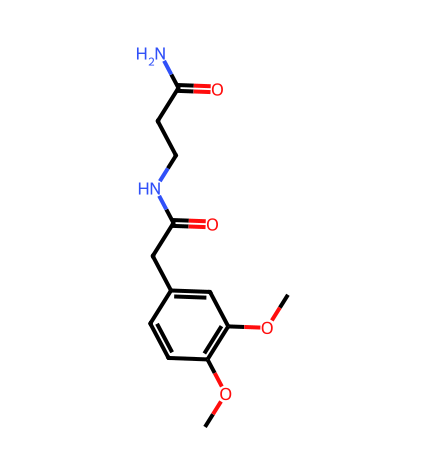 COc1ccc(CC(=O)NCCC(N)=O)cc1OC